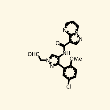 COc1ccc(Cl)cc1-c1nn(CC=O)cc1NC(=O)c1cnn2cccnc12